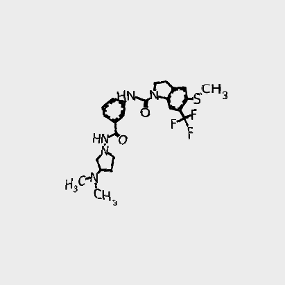 CSc1cc2c(cc1C(F)(F)F)N(C(=O)Nc1cccc(C(=O)NN3CCC(N(C)C)C3)c1)CC2